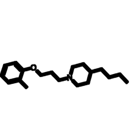 CCCCC1CCN(CCCOc2ccccc2C)CC1